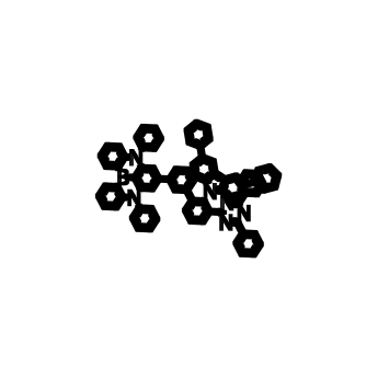 c1ccc(-c2ccc3c(c2)c2cc(-c4ccccc4)ccc2n3-c2c(-c3cccc(-c4cc5c6c(c4)N(c4ccccc4)c4ccccc4B6c4ccccc4N5c4ccccc4)c3)cccc2-c2nc(-c3ccccc3)nc(-c3ccccc3)n2)cc1